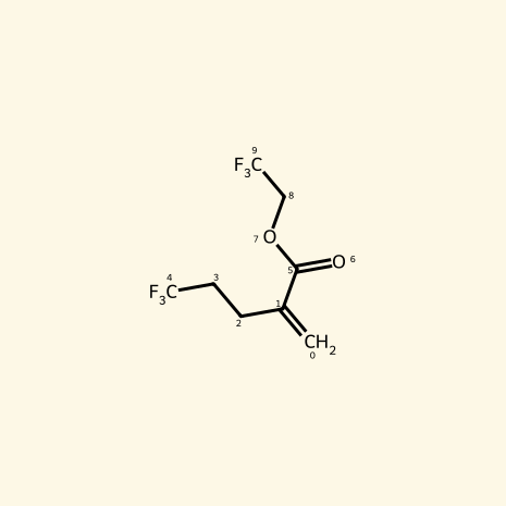 C=C(CCC(F)(F)F)C(=O)OCC(F)(F)F